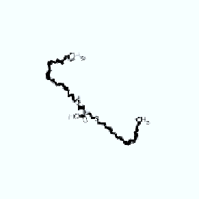 CCCCC/C=C\C/C=C\CCCCCCCCSCCN(CCSCCCCCCCC/C=C\C/C=C\CCCCC)C(=O)O